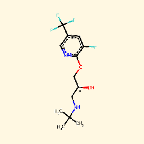 CC(C)(C)NC[C@H](O)COc1ncc(C(F)(F)F)cc1F